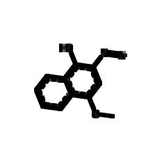 COc1cc(N=[N])c(O)c2ccccc12